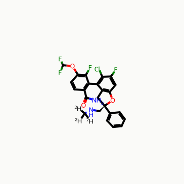 [2H]C([2H])([2H])NC[C@@]1(c2ccccc2)Cc2c(cc(F)c(Cl)c2-c2c(C(N)=O)ccc(OC(F)F)c2F)O1